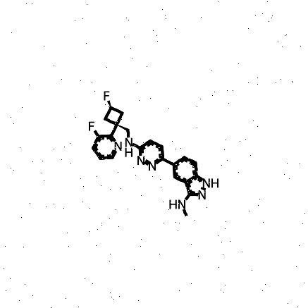 CNc1n[nH]c2ccc(-c3ccc(NC[C@]4(c5ncccc5F)C[C@H](F)C4)nn3)cc12